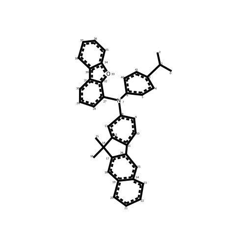 CC(C)c1ccc(N(c2ccc3c(c2)C(C)(C)c2cc4ccccc4cc2-3)c2cccc3c2oc2ccccc23)cc1